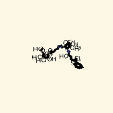 CC1(C)C(=O)[C@H](C/C=C\CCCC(=O)OC2O[C@H](COO)[C@@H](O)[C@H](O)[C@H]2O)[C@@H](/C=C/C(O)CCc2sc3ccccc3c2Cl)[C@@H]1O